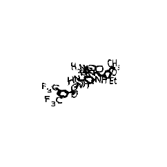 CCc1cc(C(Nc2ccc(C(=N)NOC(=O)c3cc(C(F)(F)F)cc(C(F)(F)F)c3)cc2)C(=O)NS(N)(=O)=O)cc2c(C)coc12